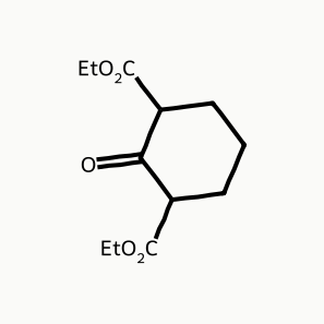 CCOC(=O)C1CCCC(C(=O)OCC)C1=O